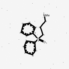 CNCCCP(=O)(c1ccccc1)c1ccccc1